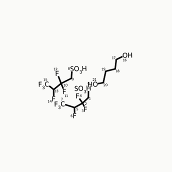 O=S(=O)(O)CC(F)(F)C(F)C(F)(F)F.O=S(=O)(O)CC(F)(F)C(F)C(F)(F)F.OCCCCO